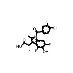 Cc1c([C@H](C)C(=O)O)c2c(F)c(O)c(F)cc2n1C(=O)c1ccc(Cl)c(F)c1